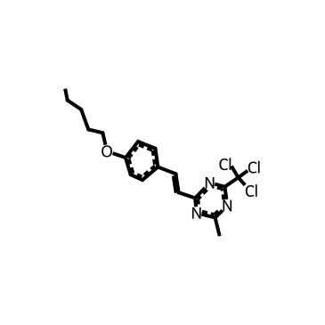 CCCCCOc1ccc(C=Cc2nc(C)nc(C(Cl)(Cl)Cl)n2)cc1